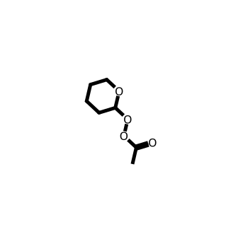 CC(=O)OOC1CCCCO1